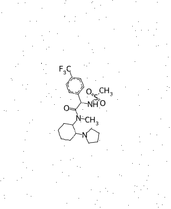 CN(C(=O)C(NS(C)(=O)=O)c1ccc(C(F)(F)F)cc1)C1CCCCC1N1CCCC1